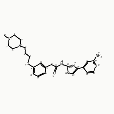 CN1CCN(CCCOc2cccc(CC(=O)Nc3nc(-c4ccnc(N)c4)cs3)c2)CC1